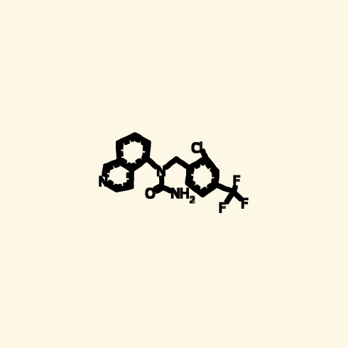 NC(=O)N(Cc1ccc(C(F)(F)F)cc1Cl)c1cccc2cnccc12